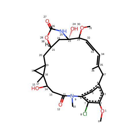 COc1cc2cc(c1Cl)N(C)C(=O)CC(O)C1(C)CC1C[C@@H]1C[C@@](O)(NC(=O)O1)C(OC)/C=C/C=C(\C)C2